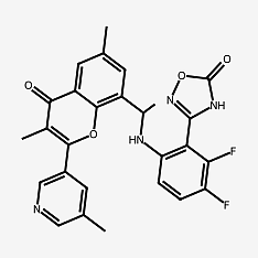 Cc1cncc(-c2oc3c(C(C)Nc4ccc(F)c(F)c4-c4noc(=O)[nH]4)cc(C)cc3c(=O)c2C)c1